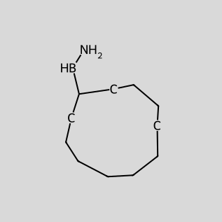 NBC1CCCCCCCCCC1